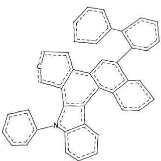 c1ccc(-c2ccccc2-c2cc3c4ccccc4c4c(c5ccccc5n4-c4ccccc4)c3c3ccccc23)cc1